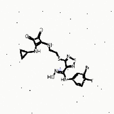 O=c1c(NCCSc2nsnc2/C(=N/O)Nc2ccc(F)c(Br)c2)c(NC2CC2)c1=O